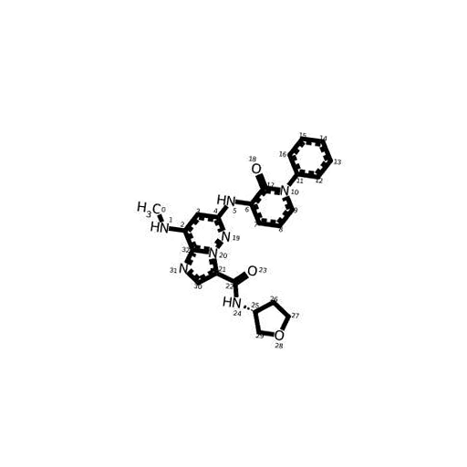 CNc1cc(Nc2cccn(-c3ccccc3)c2=O)nn2c(C(=O)N[C@@H]3CCOC3)cnc12